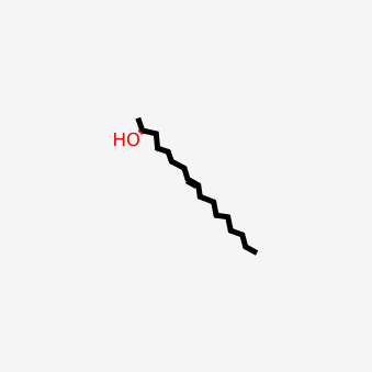 CCCCCCCCC=CCCCCCC(C)O